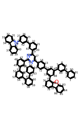 c1ccc(-c2cccc(-c3cc(-c4ccc(-c5cc(-c6cccc(-c7cccc(-n8c9ccccc9c9ccccc98)c7)c6)nc(-c6cccc(-c7cccc(-c8ccccc8-c8ccccc8)c7)c6)n5)cc4)cc(-c4cccc5c4oc4ccccc45)c3)c2)cc1